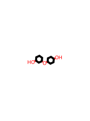 OC1CCC(OC2CCCC(O)C2)CC1